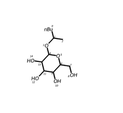 CCCCC(C)OC1OC(CO)C(O)C(O)C1O